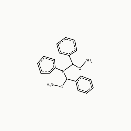 NOC(c1ccccc1)N(c1ccccc1)C(ON)c1ccccc1